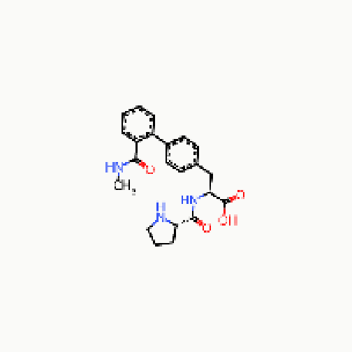 CNC(=O)c1ccccc1-c1ccc(C[C@H](NC(=O)[C@@H]2CCCN2)C(=O)O)cc1